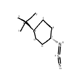 CC(C)(C)[C@H]1CC[C@H](N=C=S)CC1